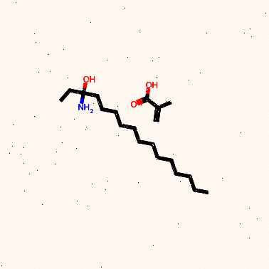 C=C(C)C(=O)O.CCCCCCCCCCCCCC(N)(O)CC